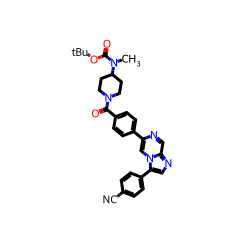 CN(C(=O)OC(C)(C)C)C1CCN(C(=O)c2ccc(-c3cn4c(-c5ccc(C#N)cc5)cnc4cn3)cc2)CC1